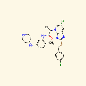 CCC(C(=O)Nc1cc(NC2CCNCC2)ccc1C)n1cc(Br)cc2nc(SCc3ccc(F)cc3)nc1-2